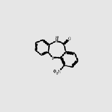 O=C1Nc2ccccc2Sc2c1cccc2[N+](=O)[O-]